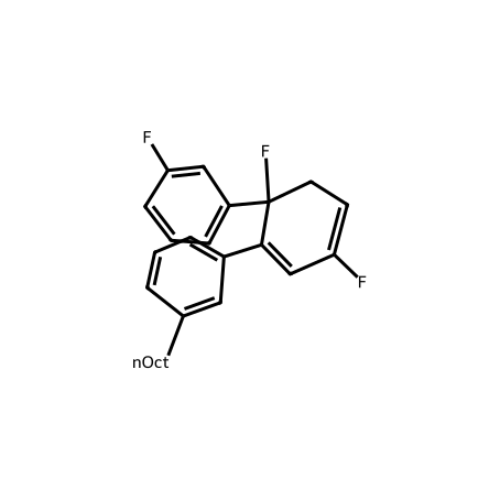 CCCCCCCCc1cccc(C2=CC(F)=CCC2(F)c2cccc(F)c2)c1